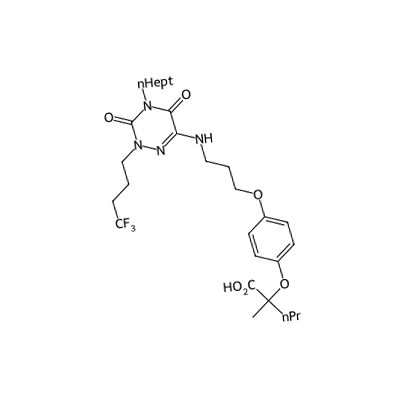 CCCCCCCn1c(=O)c(NCCCOc2ccc(OC(C)(CCC)C(=O)O)cc2)nn(CCCC(F)(F)F)c1=O